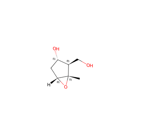 C[C@@]12O[C@@H]1C[C@H](O)[C@H]2CO